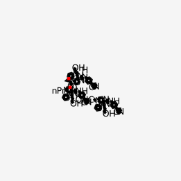 CCCN1CCc2nc(Nc3ccc(-c4cnco4)cc3)nc(N(CCO)c3ccccc3)c2C1.O=C(C1CC1)N1CCc2nc(Nc3ccc(-c4cnco4)cc3)nc(N(CCO)c3ccccc3)c2C1.O=CCCN1CCc2nc(Nc3ccc(-c4cnco4)cc3)nc(N(CCO)c3ccccc3)c2C1